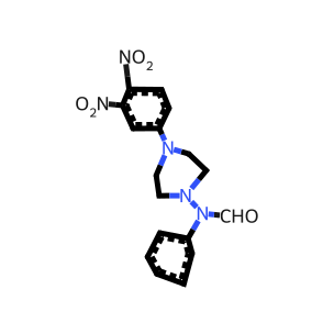 O=CN(c1ccccc1)N1CCN(c2ccc([N+](=O)[O-])c([N+](=O)[O-])c2)CC1